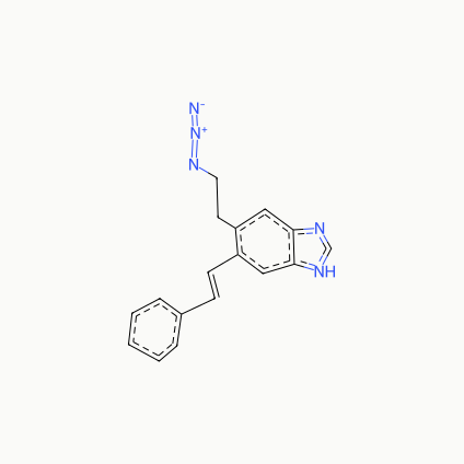 [N-]=[N+]=NCCc1cc2nc[nH]c2cc1/C=C/c1ccccc1